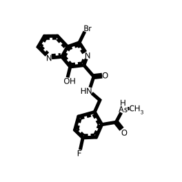 C[AsH]C(=O)c1cc(F)ccc1CNC(=O)c1nc(Br)c2cccnc2c1O